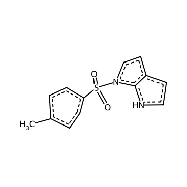 Cc1ccc(S(=O)(=O)n2ccc3cc[nH]c32)cc1